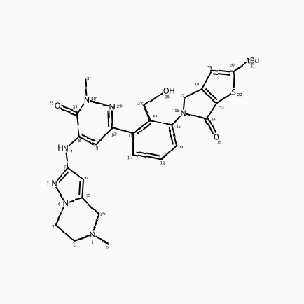 CN1CCn2nc(Nc3cc(-c4cccc(N5Cc6cc(C(C)(C)C)sc6C5=O)c4CO)nn(C)c3=O)cc2C1